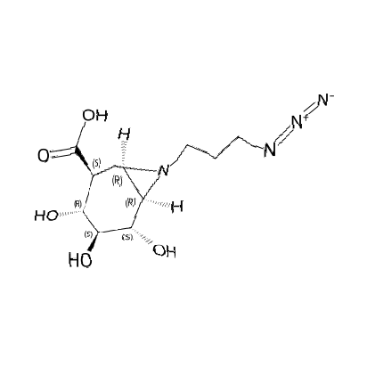 [N-]=[N+]=NCCCN1[C@@H]2[C@H](C(=O)O)[C@@H](O)[C@H](O)[C@@H](O)[C@@H]21